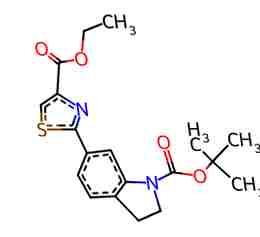 CCOC(=O)c1csc(-c2ccc3c(c2)N(C(=O)OC(C)(C)C)CC3)n1